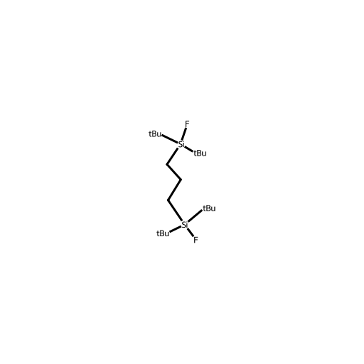 CC(C)(C)[Si](F)(CCC[Si](F)(C(C)(C)C)C(C)(C)C)C(C)(C)C